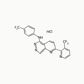 Cl.FC(F)(F)c1ccc(Nc2nncc3nc(-c4ncccc4C(F)(F)F)ccc23)cc1